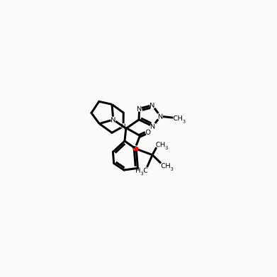 Cn1nnc(C(c2ccccc2)N2C3CCC2CN(C(=O)OC(C)(C)C)C3)n1